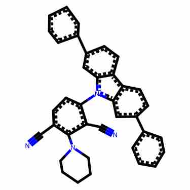 N#Cc1ccc(-n2c3cc(-c4ccccc4)ccc3c3ccc(-c4ccccc4)cc32)c(C#N)c1N1CCCCC1